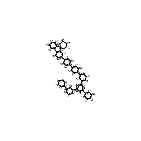 c1ccc(-c2cccc(-c3nc(-c4ccccc4)nc(-c4cccc(-c5ccc(-c6ccc(-c7ccc8c(c7)C7(CCCCC7)c7ccccc7-8)cc6)cc5)c4)n3)c2)cc1